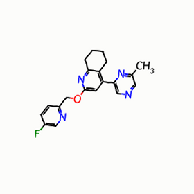 Cc1cncc(-c2cc(OCc3ccc(F)cn3)nc3c2CCCC3)n1